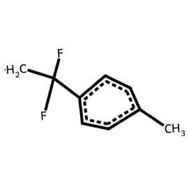 [CH2]C(F)(F)c1ccc(C)cc1